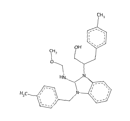 COCNC1N(Cc2ccc(C)cc2)c2ccccc2N1C(CO)Cc1ccc(C)cc1